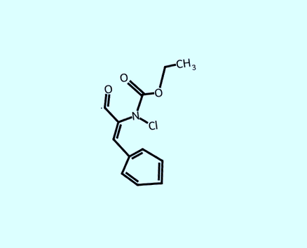 CCOC(=O)N(Cl)C([C]=O)=Cc1ccccc1